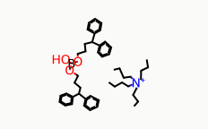 CCCC[N+](CCCC)(CCCC)CCCC.OB(OCCCC(c1ccccc1)c1ccccc1)OCCCC(c1ccccc1)c1ccccc1